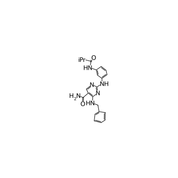 CC(C)C(=O)Nc1cccc(Nc2ncc(C(N)=O)c(NCc3ccccc3)n2)c1